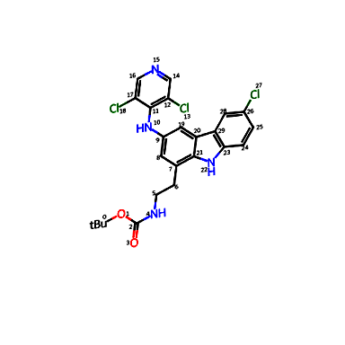 CC(C)(C)OC(=O)NCCc1cc(Nc2c(Cl)cncc2Cl)cc2c1[nH]c1ccc(Cl)cc12